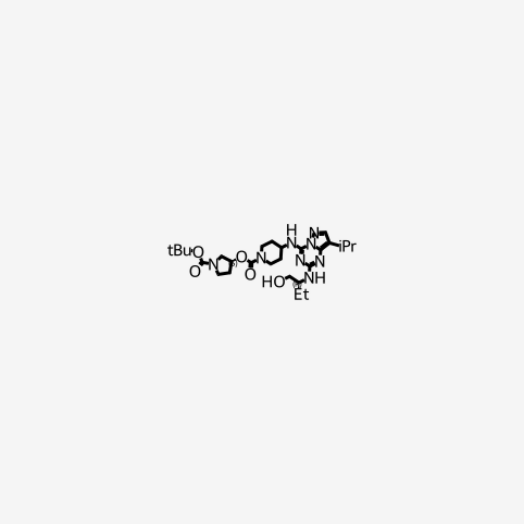 CC[C@H](CO)Nc1nc(NC2CCN(C(=O)O[C@H]3CCN(C(=O)OC(C)(C)C)C3)CC2)n2ncc(C(C)C)c2n1